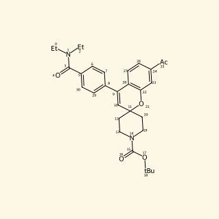 CCN(CC)C(=O)c1ccc(C2=CC3(CCN(C(=O)OC(C)(C)C)CC3)Oc3cc(C(C)=O)ccc32)cc1